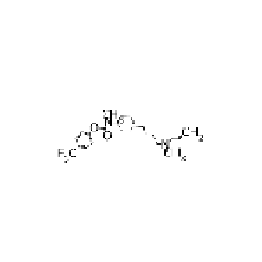 C=CCN(C)CCCC[C@H]1CC[C@H](N(C)C(=O)Oc2ccc(C(F)(F)F)cc2)CC1